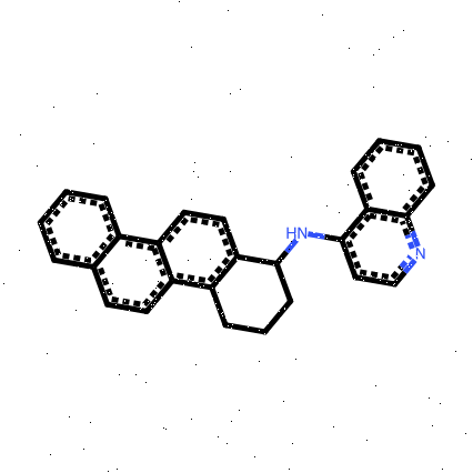 c1ccc2c(c1)ccc1c3c(ccc12)C(Nc1ccnc2ccccc12)CCC3